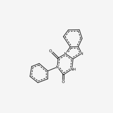 O=c1[nH]c2nc3ccccc3n2c(=O)n1-c1ccccc1